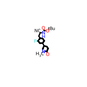 Cn1cc(-c2ccc(C[C@@H](C#N)NC(=O)OC(C)(C)C)c(F)c2)ccc1=O